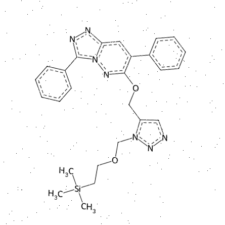 C[Si](C)(C)CCOCn1nncc1COc1nn2c(-c3ccccc3)nnc2cc1-c1ccccc1